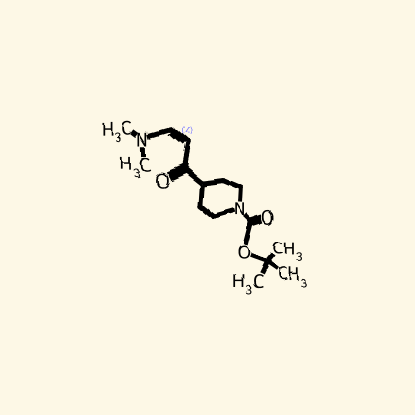 CN(C)/C=C\C(=O)C1CCN(C(=O)OC(C)(C)C)CC1